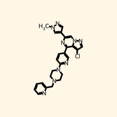 Cn1cc(-c2cn3ncc(Cl)c3c(-c3ccc(N4CCN(Cc5ccccn5)CC4)nc3)n2)cn1